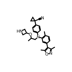 Cc1ccc(-c2c(C)noc2C)cc1N(CC(C)OC1CNC1)c1ccc(C2(C#N)CC2)cc1